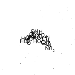 N#C[C@@]1(C2CC=C3C(N)=NC=NN32)O[C@@H]2C(OP(=O)(O)OP(=O)(O)OP(=O)(O)O)[C@]2(O)[C@H]1O